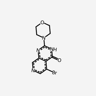 O=c1[nH]c(N2CCOCC2)nc2cncc(Br)c12